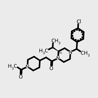 CC(=O)N1CCC(CC(=O)N2CCN(C(C)c3ccc(Cl)cc3)C[C@@H]2C(C)C)CC1